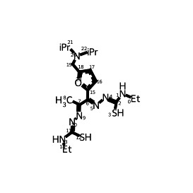 CCN/C(S)=N/N=C(/C(C)=N/N=C(\S)NCC)c1ccc(CN(C(C)C)C(C)C)o1